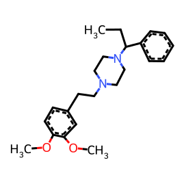 CCC(c1ccccc1)N1CCN(CCc2ccc(OC)c(OC)c2)CC1